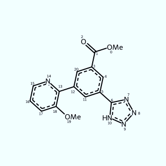 COC(=O)c1cc(-c2nnn[nH]2)cc(-c2ncccc2OC)c1